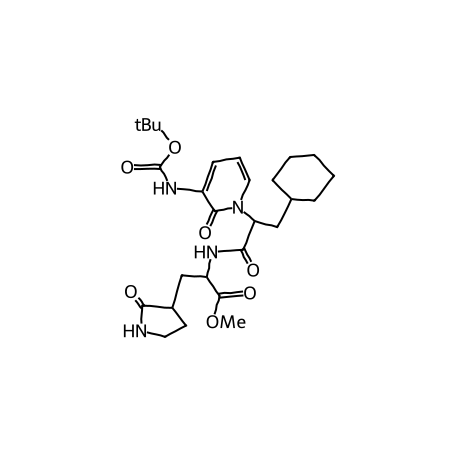 COC(=O)C(CC1CCNC1=O)NC(=O)C(CC1CCCCC1)n1cccc(NC(=O)OC(C)(C)C)c1=O